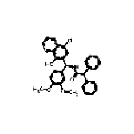 COc1ccc(C(NC(=O)C(c2ccccc2)c2ccccc2)c2cc(Cl)c3cccnc3c2O)cc1OC